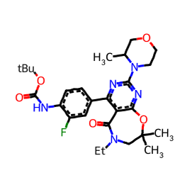 CCN1CC(C)(C)Oc2nc(N3CCOCC3C)nc(-c3ccc(NC(=O)OC(C)(C)C)c(F)c3)c2C1=O